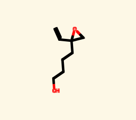 C=CC1(CCCCO)CO1